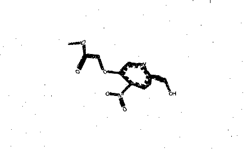 COC(=O)COc1cnc(CO)cc1[N+](=O)[O-]